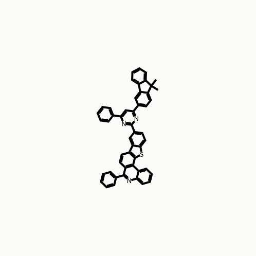 CC1(C)c2ccccc2-c2cc(-c3cc(-c4ccccc4)nc(-c4ccc5sc6c(ccc7c(-c8ccccc8)nc8ccccc8c76)c5c4)n3)ccc21